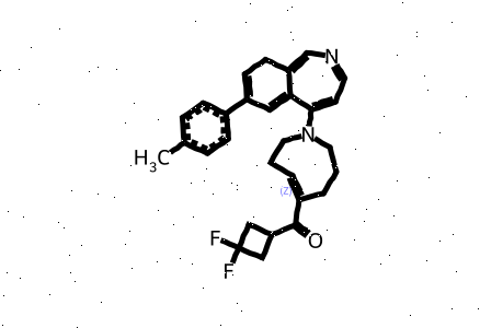 Cc1ccc(C2=CCC3=CN=CC=C(N4CC/C=C(\C(=O)C5CC(F)(F)C5)CCC4)C3=C2)cc1